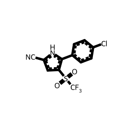 N#Cc1cc(S(=O)(=O)C(F)(F)F)c(-c2ccc(Cl)cc2)[nH]1